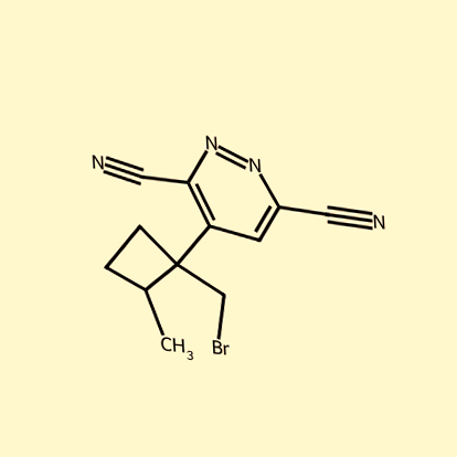 CC1CCC1(CBr)c1cc(C#N)nnc1C#N